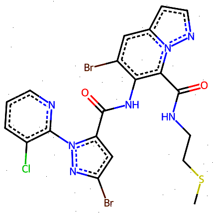 CSCCNC(=O)c1c(NC(=O)c2cc(Br)nn2-c2ncccc2Cl)c(Br)cc2ccnn12